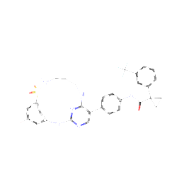 CN1CCCNc2nc(ncc2-c2ccc(NC(=O)C3(c4cccc(C(F)(F)F)c4)CC3)cc2)Nc2cc(O)cc(c2)S1(=O)=O